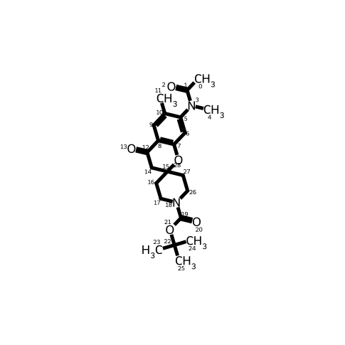 CC(=O)N(C)c1cc2c(cc1C)C(=O)CC1(CCN(C(=O)OC(C)(C)C)CC1)O2